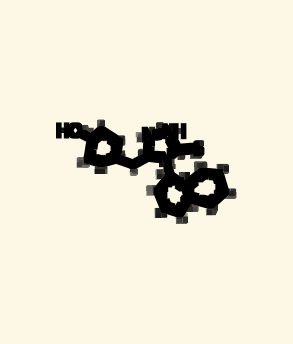 Oc1ccc(Cc2n[nH]c(=S)n2-c2cccc3ccccc23)cc1